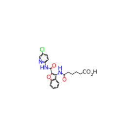 O=C(O)CCCCC(=O)Nc1c(C(=O)Nc2ccc(Cl)cn2)oc2ccccc12